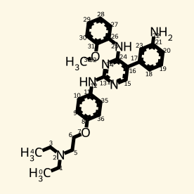 CCN(CC)CCOc1ccc(Nc2ncc(-c3cccc(N)c3)c(Nc3ccccc3OC)n2)cc1